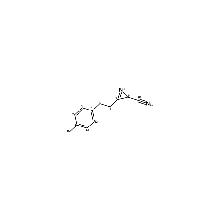 Cc1ccc(CCC2=NC2C#N)cc1